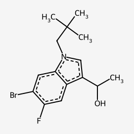 CC(O)c1cn(CC(C)(C)C)c2cc(Br)c(F)cc12